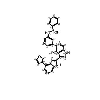 OC(Nc1cncc(-c2ncc3[nH]nc(-c4nc5c(-c6ccoc6)cncc5[nH]4)c3c2F)c1)c1ccccc1